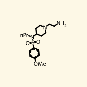 CCCN(C1CCN(CCN)CC1)S(=O)(=O)c1ccc(OC)cc1